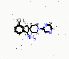 Cc1cccc2c1CC1(CCN(c3cnccn3)CC1)C2N